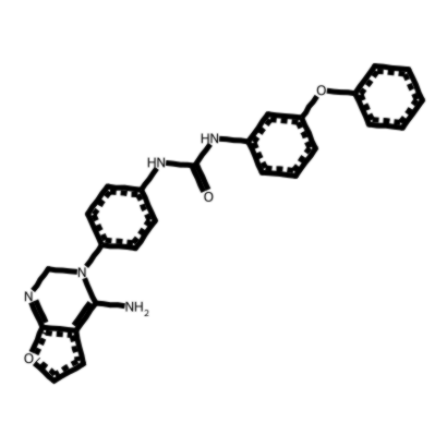 NC1=c2ccoc2=NCN1c1ccc(NC(=O)Nc2cccc(Oc3ccccc3)c2)cc1